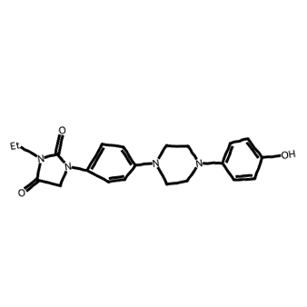 CCN1C(=O)CN(c2ccc(N3CCN(c4ccc(O)cc4)CC3)cc2)C1=O